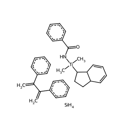 C=C(C(=C)c1ccccc1)c1ccccc1.[CH3][Ti]([CH3])([NH]C(=O)c1ccccc1)[CH]1CCC2C=CC=CC21.[SiH4]